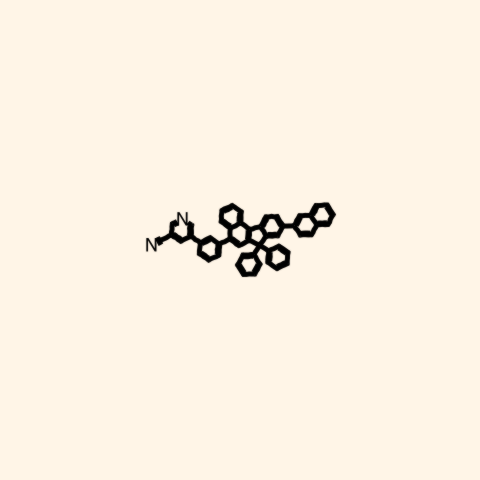 N#Cc1cncc(-c2cccc(-c3cc4c(c5ccccc35)-c3ccc(-c5ccc6ccccc6c5)cc3C4(c3ccccc3)c3ccccc3)c2)c1